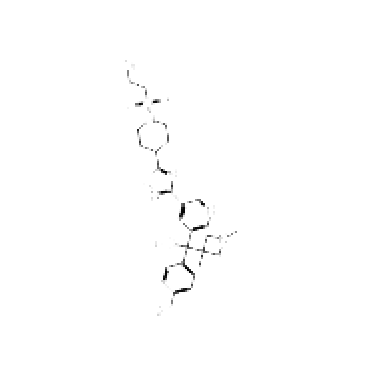 CC(C)c1ccc(C(O)(c2cncc(-c3noc(C4CCN(S(=O)(=O)CCO)CC4)n3)c2)C2(C)CN(C)C2)cc1